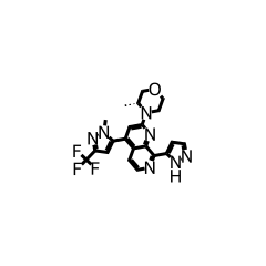 C[C@@H]1COCCN1c1cc(-c2cc(C(F)(F)F)nn2C)c2ccnc(-c3ccn[nH]3)c2n1